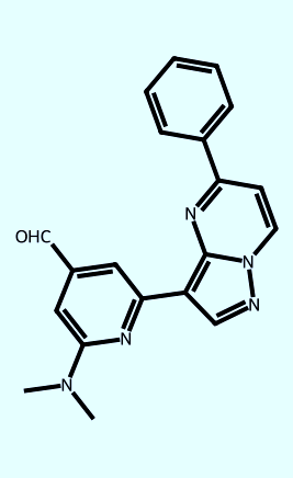 CN(C)c1cc(C=O)cc(-c2cnn3ccc(-c4ccccc4)nc23)n1